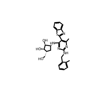 Cc1ccccc1CNc1nc(C)c(-c2nc3ccccc3s2)c(N[C@@H]2C[C@H](CO)[C@@H](O)[C@H]2O)n1